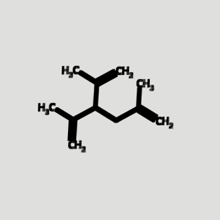 C=C(C)CC(C(=C)C)C(=C)C